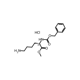 COC(=O)[C@@H](CCCCN)NC(=O)OCc1ccccc1.Cl